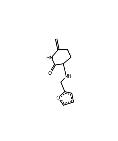 C=C1CCC(NCc2ccco2)C(=O)N1